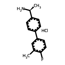 Cc1cc(-c2ccc([C@H](C)N)cc2)ccc1F.Cl